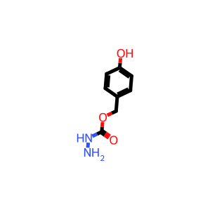 NNC(=O)OCc1ccc(O)cc1